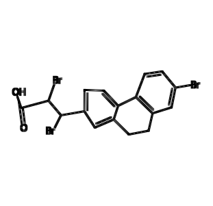 O=C(O)C(Br)C(Br)c1ccc2c(c1)CCc1cc(Br)ccc1-2